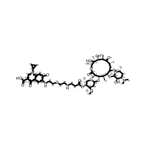 CO[C@]1(C)C[C@@H](C)C(=O)[C@H](C)[C@@H](O)[C@](C)(O)[C@@H](I)OC(=O)[C@H](C)[C@@H](OC2C[C@@](C)(OC)[C@@H](OC(=O)CCNCCOCCNc3cc4c(=O)c(C(=O)O)cn(C5CC5)c4cc3Cl)[C@H](C)O2)[C@H](C)[C@H]1OC1O[C@H](C)C[C@H](N(C)C)[C@H]1O